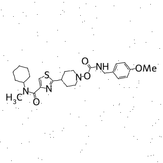 COc1ccc(CNC(=O)ON2CCC(c3nc(C(=O)N(C)C4CCCCC4)cs3)CC2)cc1